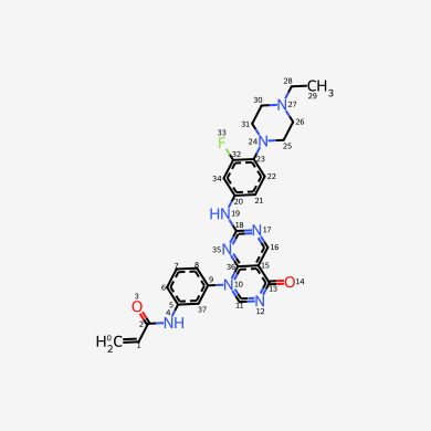 C=CC(=O)Nc1cccc(-n2cnc(=O)c3cnc(Nc4ccc(N5CCN(CC)CC5)c(F)c4)nc32)c1